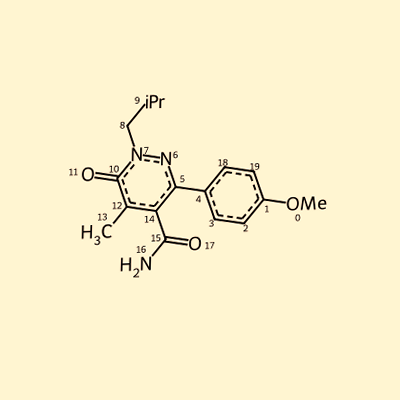 COc1ccc(-c2nn(CC(C)C)c(=O)c(C)c2C(N)=O)cc1